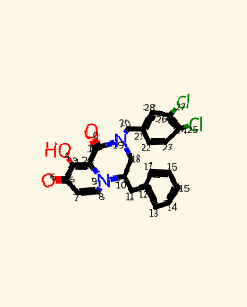 O=C1c2c(O)c(=O)ccn2C(Cc2ccccc2)CN1Cc1ccc(Cl)c(Cl)c1